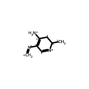 C=NC1=C(N)CC(C)N=C1